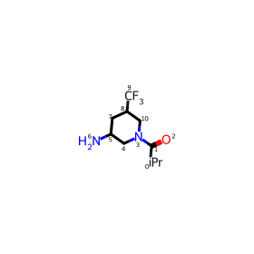 CC(C)C(=O)N1CC(N)CC(C(F)(F)F)C1